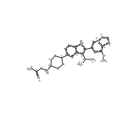 COc1cc(-c2[nH]c3ccc(C4CCC(NCC(N)=O)CC4)cc3c2C(C)C)cn2ncnc12